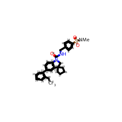 CNS(=O)(=O)c1ccc(CNC(=O)N2CC3(CCCC3)c3cc(-c4ccccc4CC(F)(F)F)ccc32)cc1